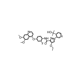 CCOc1cn(-c2cnccc2C(C)(C)O)nc1C(=O)Nc1ccc(Oc2ccnc3cc(OC)c(OC)cc23)cc1F